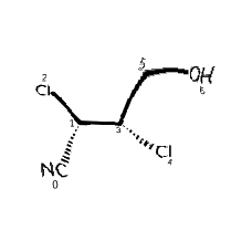 N#C[C@H](Cl)[C@@H](Cl)CO